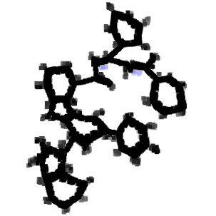 C=C(/N=C(\N=C(/C)c1ccccc1)c1ccccc1)c1cccc2oc3c(-n4nnc5ccccc54)cc(-c4ccccc4)cc3c12